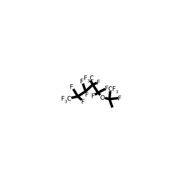 CC(F)(OC(F)(F)C(F)(C(F)(F)F)C(F)(F)C(F)(F)C(F)(F)F)C(F)(F)F